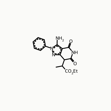 CCOC(=O)C(C)C1C(=O)NC(=O)c2c1nn(-c1ccccc1)c2N